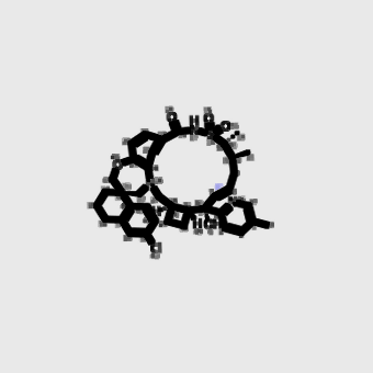 Cc1ccc([C@]2(O)/C=C/C[C@H](C)[C@@H](C)S(=O)(=O)NC(=O)c3ccc4c(c3)N(C[C@@H]3CC[C@H]32)C[C@@]2(CCCc3cc(Cl)ccc32)CO4)nc1